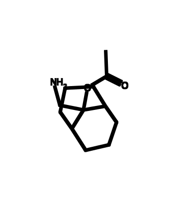 CC(=O)OC1(CN)C2CCCC1CCC2